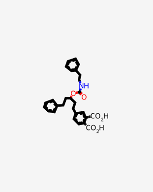 O=C(NCCc1ccccc1)OC(CCc1ccccc1)CCc1ccc(C(=O)O)c(C(=O)O)c1